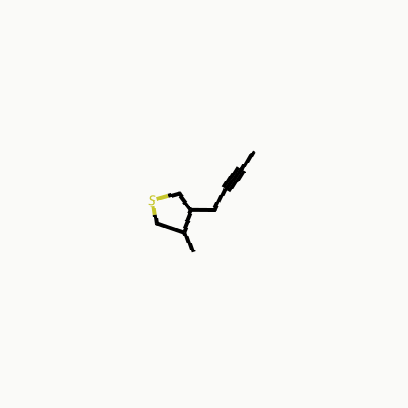 CC#CCC1CSCC1C